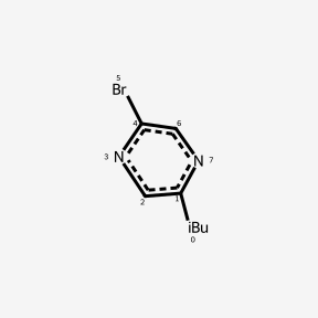 CCC(C)c1cnc(Br)cn1